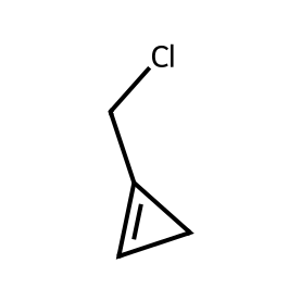 ClCC1=CC1